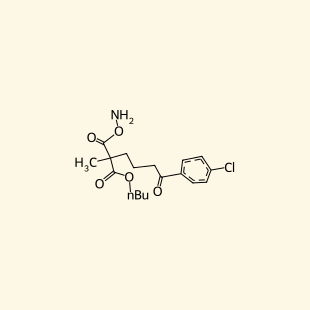 CCCCOC(=O)C(C)(CCCC(=O)c1ccc(Cl)cc1)C(=O)ON